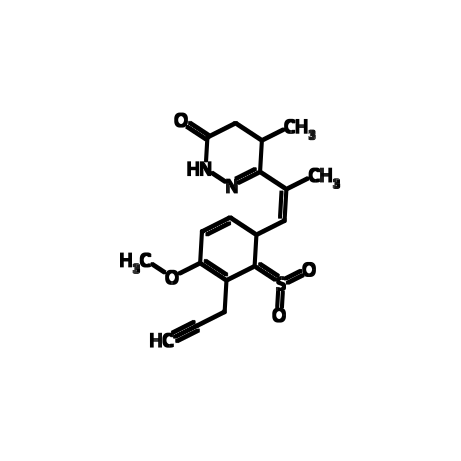 C#CCC1=C(OC)C=CC(C=C(C)C2=NNC(=O)CC2C)C1=S(=O)=O